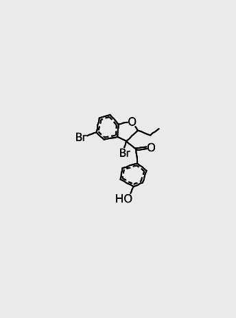 CCC1Oc2ccc(Br)cc2C1(Br)C(=O)c1ccc(O)cc1